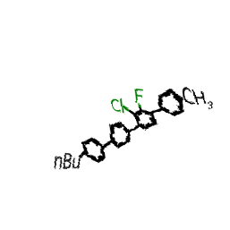 CCCCc1ccc(-c2ccc(-c3ccc(-c4ccc(C)cc4)c(F)c3Cl)cc2)cc1